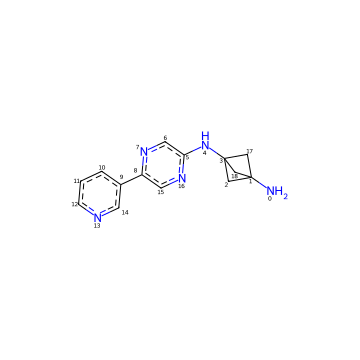 NC12CC(Nc3cnc(-c4cccnc4)cn3)(C1)C2